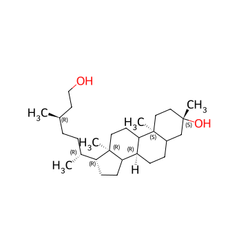 C[C@@H](CCO)CC[C@@H](C)[C@H]1CCC2[C@@H]3CCC4C[C@@](C)(O)CC[C@]4(C)C3CC[C@@]21C